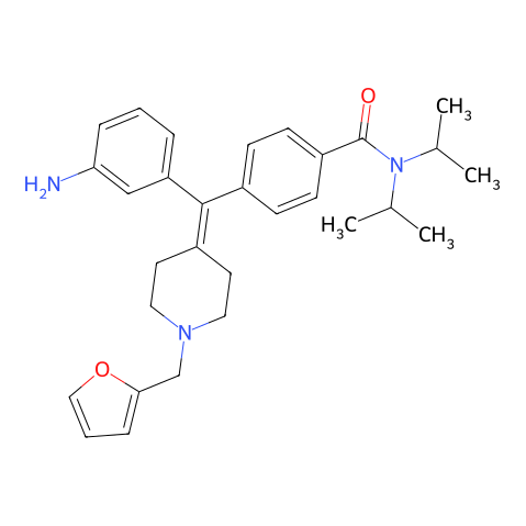 CC(C)N(C(=O)c1ccc(C(=C2CCN(Cc3ccco3)CC2)c2cccc(N)c2)cc1)C(C)C